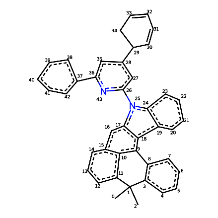 CC1(C)c2ccccc2-c2c3c1cccc3cc1c2c2ccccc2n1-c1cc(C2C=CC=CC2)cc(-c2ccccc2)n1